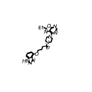 CCc1nc2c(N3CCN(C(=O)CCCOc4cccc5[nH]nnc45)CC3)ncnc2o1